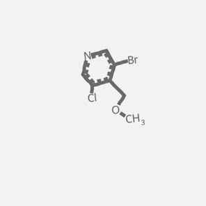 COCc1c(Cl)cncc1Br